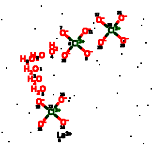 O.O.O.O.O.O.[La+3].[O-][Cl+3]([O-])([O-])[O-].[O-][Cl+3]([O-])([O-])[O-].[O-][Cl+3]([O-])([O-])[O-]